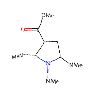 CNC1CC(C(=O)OC)C(NC)N1NC